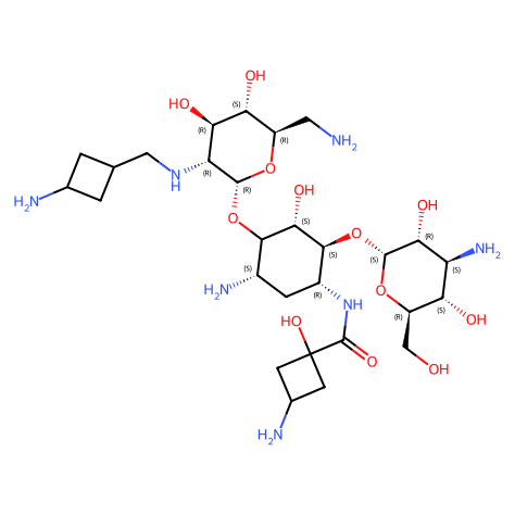 NC[C@H]1O[C@H](OC2[C@@H](N)C[C@@H](NC(=O)C3(O)CC(N)C3)[C@H](O[C@H]3O[C@H](CO)[C@@H](O)[C@H](N)[C@H]3O)[C@H]2O)[C@H](NCC2CC(N)C2)[C@@H](O)[C@@H]1O